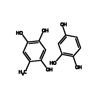 Cc1cc(O)c(O)cc1O.Oc1ccc(O)c(O)c1